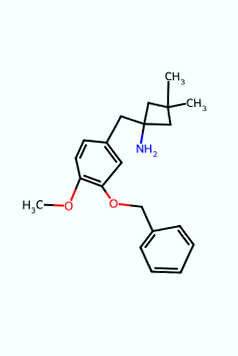 COc1ccc(CC2(N)CC(C)(C)C2)cc1OCc1ccccc1